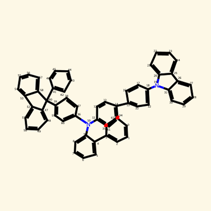 c1ccc(-c2ccccc2N(c2ccc(-c3ccc(-n4c5ccccc5c5ccccc54)cc3)cc2)c2ccc(C3(c4ccccc4)c4ccccc4-c4ccccc43)cc2)cc1